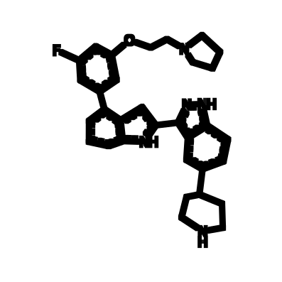 Fc1cc(OCCN2CCCC2)cc(-c2cccc3[nH]c(-c4n[nH]c5ccc(C6CCNCC6)cc45)cc23)c1